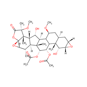 CO[C@H]1C[C@H]2C[C@@H]3O[C@@H]3[C@H](O)[C@]2(C)C2C1[C@@H]1[C@@H](O)[C@@H]3[C@H]([C@H](C)[C@H]4O[C@]45OC(=O)[C@@](C)(OC)[C@]35C)[C@@]1(C)[C@@H](OC(C)=O)[C@H]2OC(C)=O